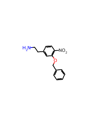 NCCc1ccc([N+](=O)[O-])c(OCc2ccccc2)c1